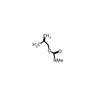 C=C(C)COC(=O)NC